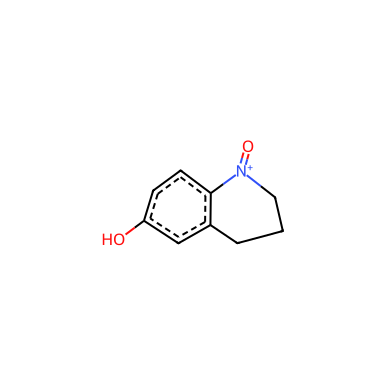 O=[N+]1CCCc2cc(O)ccc21